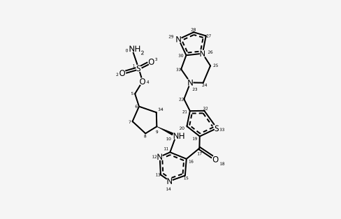 NS(=O)(=O)OCC1CC[C@H](Nc2ncncc2C(=O)c2cc(CN3CCn4ccnc4C3)cs2)C1